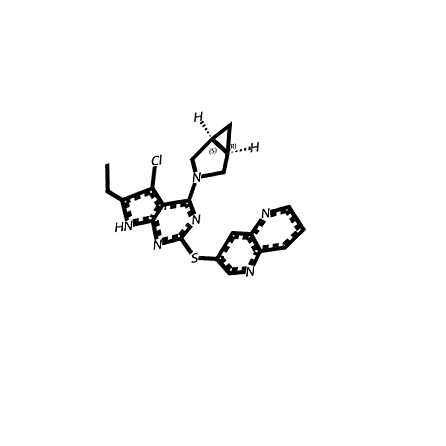 CCc1[nH]c2nc(Sc3cnc4cccnc4c3)nc(N3C[C@H]4C[C@H]4C3)c2c1Cl